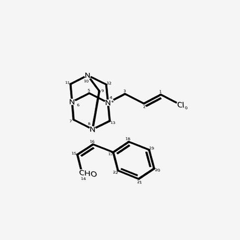 Cl/C=C/C[N+]12CN3CN(CN(C3)C1)C2.O=C/C=C\c1ccccc1